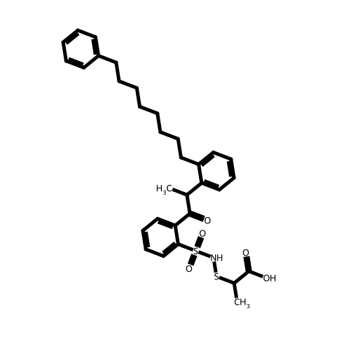 CC(SNS(=O)(=O)c1ccccc1C(=O)C(C)c1ccccc1CCCCCCCCc1ccccc1)C(=O)O